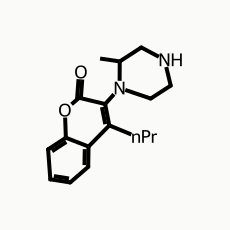 CCCc1c(N2CCNCC2C)c(=O)oc2ccccc12